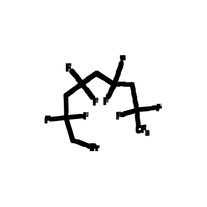 CC(C)CC(F)(F)CC(F)(F)CC(F)(F)CC(F)(F)C(F)(F)F